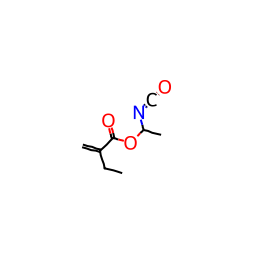 C=C(CC)C(=O)OC(C)N=C=O